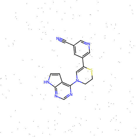 N#Cc1cncc(C2=CN(c3ncnc4[nH]ccc34)CCS2)c1